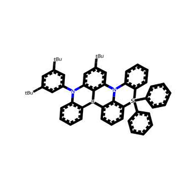 CC(C)(C)c1cc(N2c3ccccc3B3c4cccc5c4N(c4ccccc4[Si]5(c4ccccc4)c4ccccc4)c4cc(C(C)(C)C)cc2c43)cc(C(C)(C)C)c1